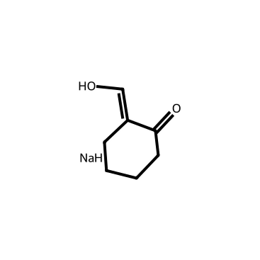 O=C1CCCC/C1=C\O.[NaH]